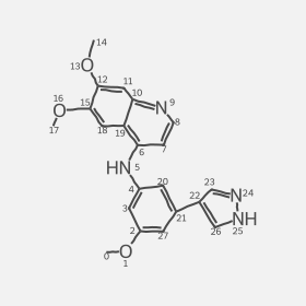 COc1cc(Nc2ccnc3cc(OC)c(OC)cc23)cc(-c2cn[nH]c2)c1